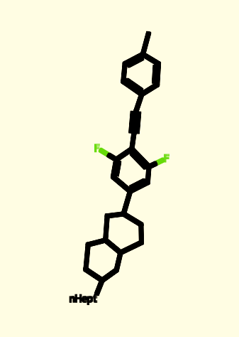 CCCCCCCC1CCC2CC(c3cc(F)c(C#Cc4ccc(C)cc4)c(F)c3)CCC2C1